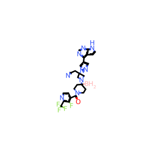 BC1(N2CC(CC#N)(n3cc(-c4ncnc5[nH]ccc45)cn3)C2)CCN(C(=O)c2ccnc(C(F)(F)F)c2F)CC1